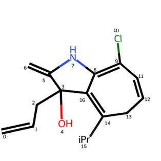 C=CCC1(O)C(=C)NC2=C(Cl)C=CCC(C(C)C)=C21